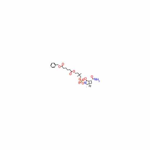 C[C@H]1[C@@H]2C[C@@H](C(N)=O)C2C(=O)N1OS(=O)(=O)OCC(C)(C)CCOC(=O)CCCCC(=O)OCc1ccccc1